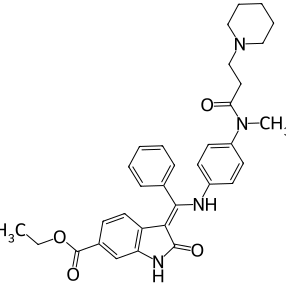 CCOC(=O)c1ccc2c(c1)NC(=O)/C2=C(\Nc1ccc(N(C)C(=O)CCN2CCCCC2)cc1)c1ccccc1